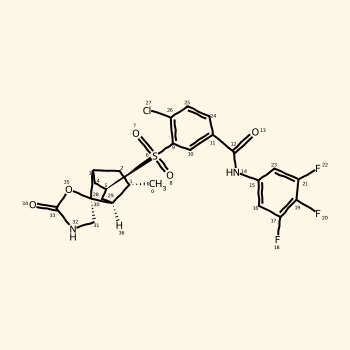 C[C@H]1CC2C[C@@H](S(=O)(=O)c3cc(C(=O)Nc4cc(F)c(F)c(F)c4)ccc3Cl)C[C@H]1[C@]21CNC(=O)O1